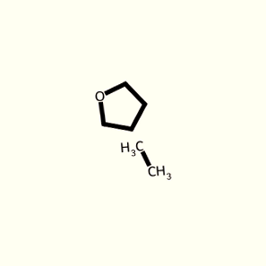 C1CCOC1.CC